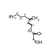 C=C(C=COC(=O)CO)CCCC(C)C